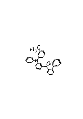 Cc1cccc(N(c2ccccc2)c2cccc(C(O)c3ccccc3-c3ccccc3)c2)c1